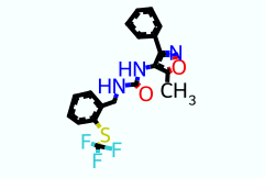 Cc1onc(-c2ccccc2)c1NC(=O)NCc1ccccc1SC(F)(F)F